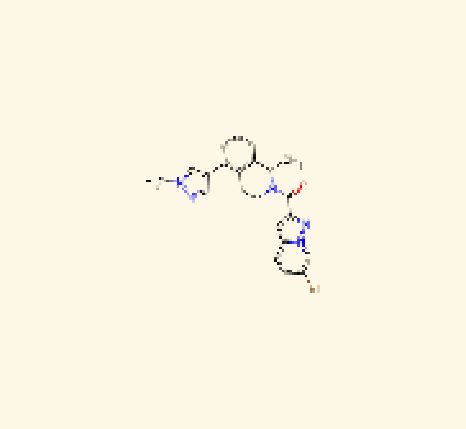 CC1c2cccc(-c3cnn(C)c3)c2CCN1C(=O)c1cc2ccc(Br)cn2n1